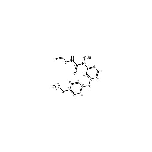 C=CCNC(=O)N(CCCC)c1cccc(Sc2ccc(CC(=O)O)cc2)c1